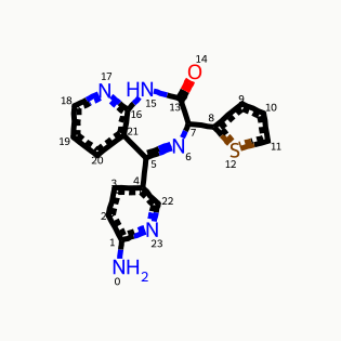 Nc1ccc(C2=NC(c3cccs3)C(=O)Nc3ncccc32)cn1